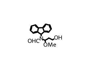 COC(CCO)N(C=O)C1c2ccccc2-c2ccccc21